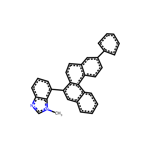 Cn1cnc2cccc(-c3cc4ccccc4c4c3ccc3cc(-c5ccccc5)ccc34)c21